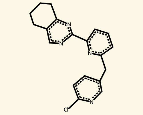 Clc1ccc(Cc2cccc(-c3ncc4c(n3)CCCC4)n2)cn1